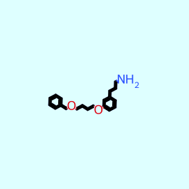 NCCCc1cccc(OCCCCOCc2ccccc2)c1